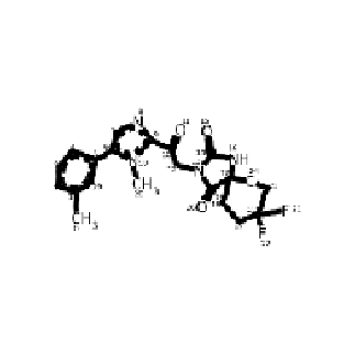 Cc1cccc(-c2cnc(C(=O)CN3C(=O)NC4(CCC(F)(F)CC4)C3=O)n2C)c1